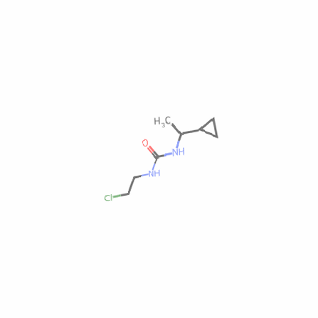 CC(NC(=O)NCCCl)C1CC1